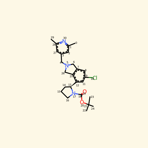 Cc1cc(CN2Cc3cc(Cl)cc([C@@H]4CCCN4C(=O)OC(C)(C)C)c3C2)cc(C)n1